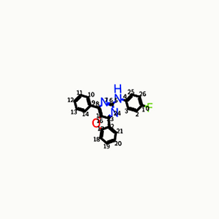 Fc1ccc(Nc2nc(-c3ccccc3)c3oc4ccccc4c3n2)cc1